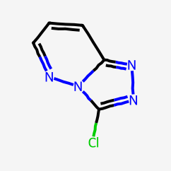 Clc1nnc2cccnn12